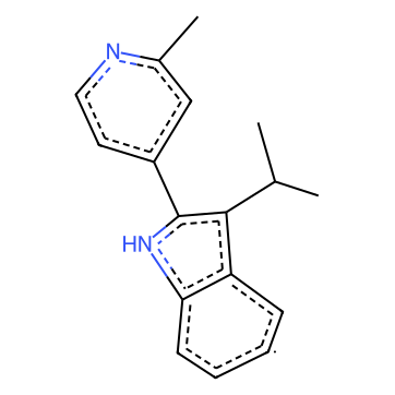 Cc1cc(-c2[nH]c3cc[c]cc3c2C(C)C)ccn1